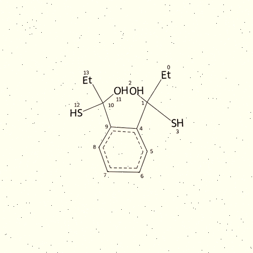 CCC(O)(S)c1ccccc1C(O)(S)CC